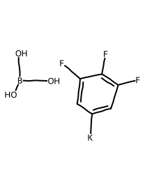 Fc1c[c]([K])cc(F)c1F.OB(O)O